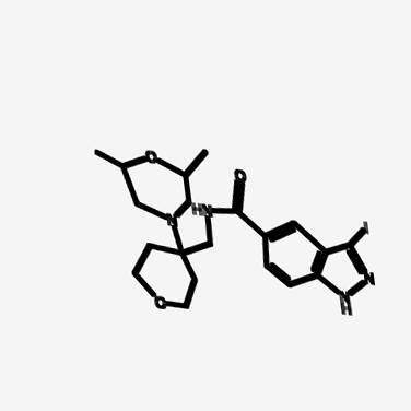 CC1CN(C2(CNC(=O)c3ccc4[nH]nc(I)c4c3)CCOCC2)CC(C)O1